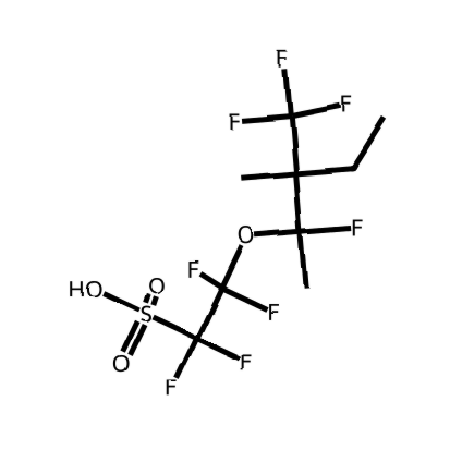 CCC(C)(C(F)(F)F)C(C)(F)OC(F)(F)C(F)(F)S(=O)(=O)O